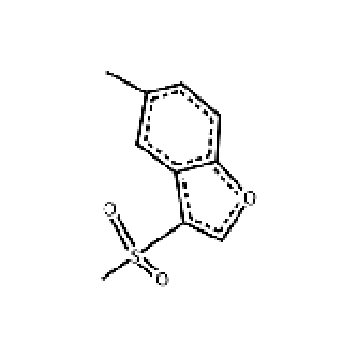 Cc1ccc2occ(S(C)(=O)=O)c2c1